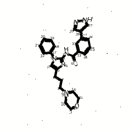 O=C(Nc1nc(CCCN2CCOCC2)cn1-c1ccccc1)c1cccc(-c2cn[nH]c2)c1